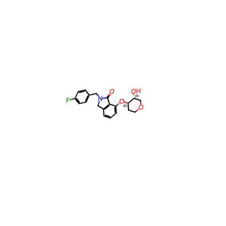 O=C1c2c(cccc2O[C@@H]2CCOC[C@H]2O)CN1Cc1ccc(F)cc1